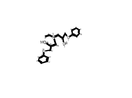 CCN(CC(O)COc1ccccc1)CC(O)COc1ccccc1